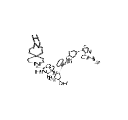 Cc1ncsc1-c1ccc(CNC(=O)[C@@H]2C[C@@H](O)CN2C(=O)[C@@H](NC(=O)CN2CCC3(CCNCC3)CC2)C(C)(C)C)cc1